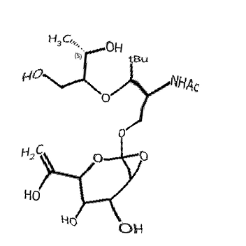 C=C(O)C1OC2(OCC(NC(C)=O)C(OC(CO)[C@H](C)O)C(C)(C)C)OC2C(O)C1O